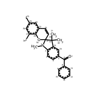 CN1c2ccc(C(=O)c3ccccc3)cc2C(C)(C)C12C=Cc1cc(I)cc(I)c1O2